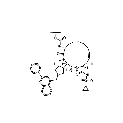 CC(C)(C)OC(=O)N[C@@H]1CCCCC/C=C\[C@H]2C[C@@]2(C(=O)NS(=O)(=O)C2CC2)NC(=O)[C@@H]2[C@H]3CN(Cc4cc(-c5ccccc5)nc5ccccc45)C[C@H]3CN2C1=O